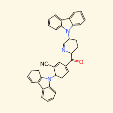 N#CC1=CC(C(=O)C2CCC(n3c4ccccc4c4ccccc43)C=N2)=CCC1n1c2c(c3ccccc31)C=CCC2